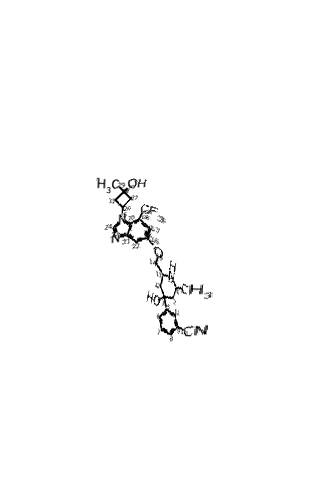 CC1CC(O)(c2cccc(C#N)c2)CC(COc2cc(C(F)(F)F)c3c(c2)ncn3C2CC(C)(O)C2)N1